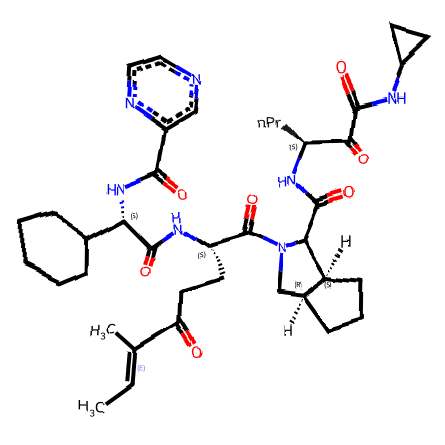 C/C=C(\C)C(=O)CC[C@H](NC(=O)[C@@H](NC(=O)c1cnccn1)C1CCCCC1)C(=O)N1C[C@@H]2CCC[C@@H]2C1C(=O)N[C@@H](CCC)C(=O)C(=O)NC1CC1